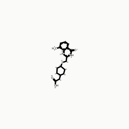 Cc1cccc2c(=O)[nH]c(CSC3CCC(CC(=O)O)CC3)nc12